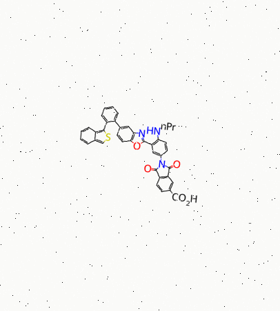 CCCNc1ccc(N2C(=O)c3ccc(C(=O)O)cc3C2=O)cc1-c1nc2cc(-c3ccccc3-c3scc4ccccc34)ccc2o1